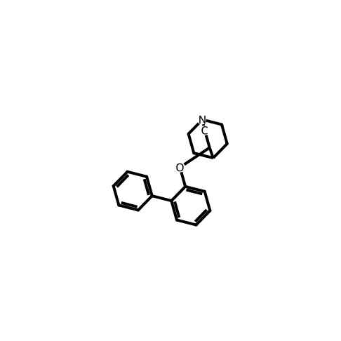 c1ccc(-c2ccccc2OC2CN3CCC2CC3)cc1